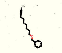 CCCC#CCCCCCCCOCc1ccccc1